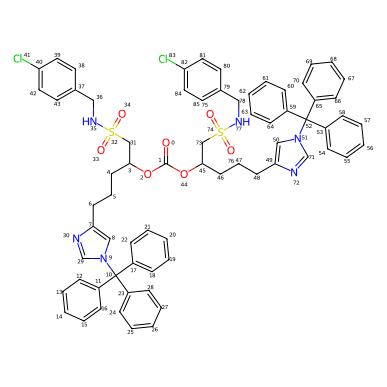 O=C(OC(CCCc1cn(C(c2ccccc2)(c2ccccc2)c2ccccc2)cn1)CS(=O)(=O)NCc1ccc(Cl)cc1)OC(CCCc1cn(C(c2ccccc2)(c2ccccc2)c2ccccc2)cn1)CS(=O)(=O)NCc1ccc(Cl)cc1